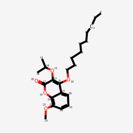 CCCCCCCCCCOc1c(OC(C)C)c(=O)oc2c(OC)cccc12